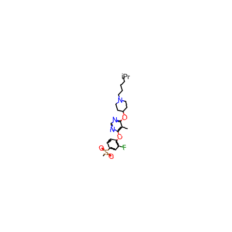 Cc1c(Oc2ccc(S(C)(=O)=O)cc2F)ncnc1OC1CCN(CCCCC(C)C)CC1